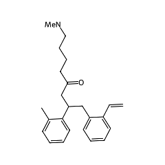 C=Cc1ccccc1CC(CC(=O)CCCCNC)c1ccccc1C